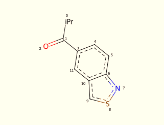 CC(C)C(=O)c1ccc2nscc2c1